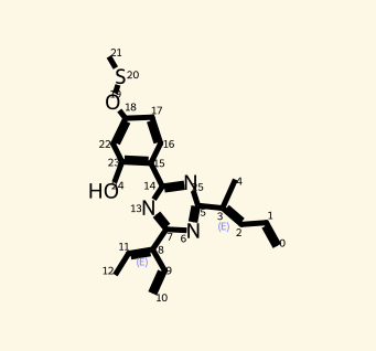 C=C/C=C(\C)c1nc(/C(C=C)=C/C)nc(-c2ccc(OSC)cc2O)n1